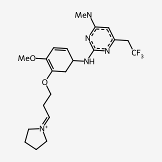 CNc1cc(CC(F)(F)F)nc(NC2C=CC(OC)=C(OCCC=[N+]3CCCC3)C2)n1